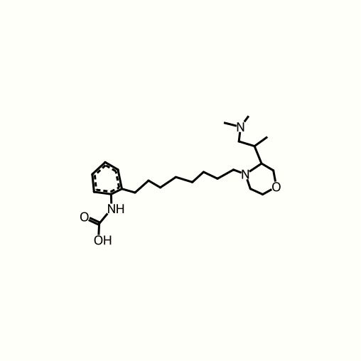 CC(CN(C)C)C1COCCN1CCCCCCCCc1ccccc1NC(=O)O